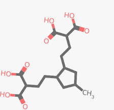 CC1CC(CCC(C(=O)O)C(=O)O)C(CCC(C(=O)O)C(=O)O)C1